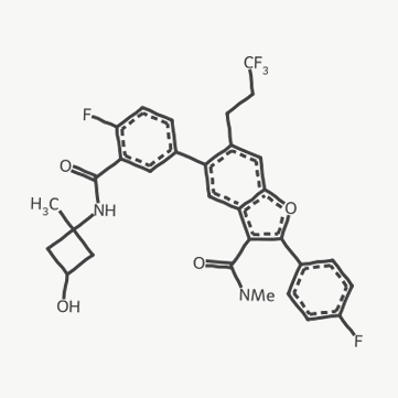 CNC(=O)c1c(-c2ccc(F)cc2)oc2cc(CCC(F)(F)F)c(-c3ccc(F)c(C(=O)NC4(C)CC(O)C4)c3)cc12